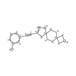 Clc1cccc(C#CC2=NOC3(CCC4(CC3)COC4)C2)c1